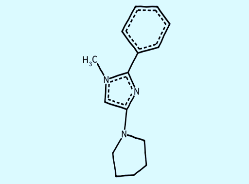 Cn1cc(N2CCCCC2)nc1-c1ccccc1